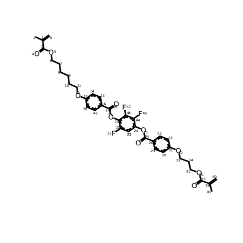 C=C(C)C(=O)OCCCCCCOc1ccc(C(=O)Oc2c(F)cc(OC(=O)c3ccc(OCCCOC(=O)C(=C)C)cc3)c(F)c2F)cc1